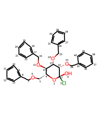 O[C@@]1(Cl)O[C@H](COCc2ccccc2)[C@@H](OCc2ccccc2)[C@H](OCc2ccccc2)[C@@H]1OCc1ccccc1